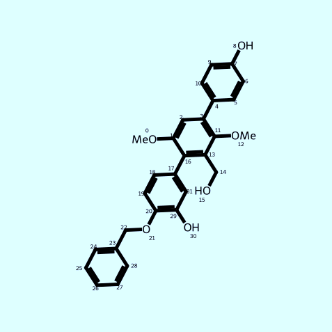 COc1cc(-c2ccc(O)cc2)c(OC)c(CO)c1-c1ccc(OCc2ccccc2)c(O)c1